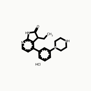 CCC1C(=O)Nc2nccc(-c3cccc(N4CCNCC4)c3)c21.Cl